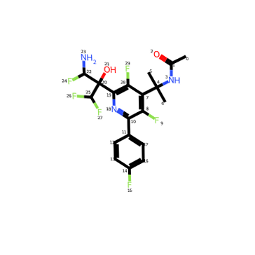 CC(=O)NC(C)(C)c1c(F)c(-c2ccc(F)cc2)nc(C(O)(C(N)F)C(F)F)c1F